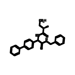 C[C@H](CC(=O)O)C(=O)NC(C(=O)NCc1ccccc1)c1ccc(-c2ccccc2)cc1